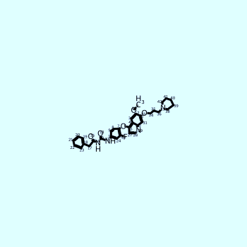 COc1cc2c(Oc3ccc(NC(=O)NC(=O)Cc4ccccc4)cc3F)ccnc2cc1OCCCN1CCCCC1